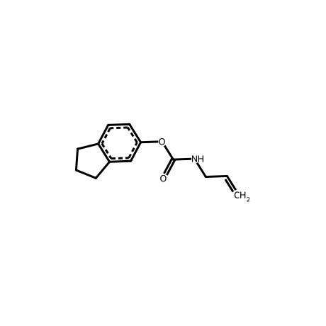 C=CCNC(=O)Oc1ccc2c(c1)CCC2